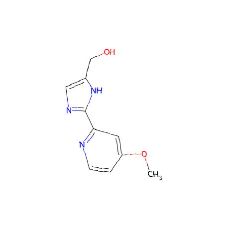 COc1ccnc(-c2ncc(CO)[nH]2)c1